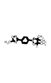 Cc1nc(-c2ccc(B3OC(C)(C)C(C)(I)O3)cc2)no1